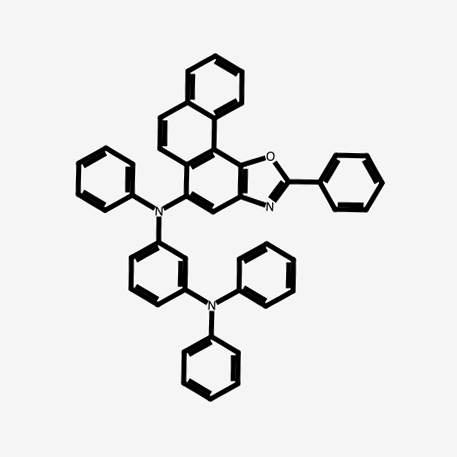 c1ccc(-c2nc3cc(N(c4ccccc4)c4cccc(N(c5ccccc5)c5ccccc5)c4)c4ccc5ccccc5c4c3o2)cc1